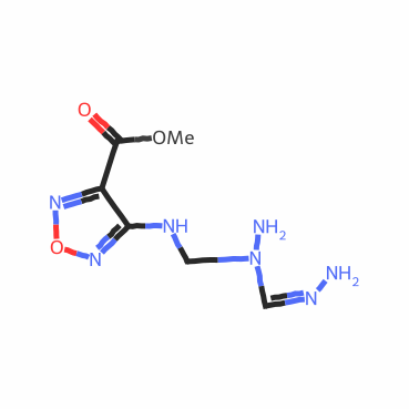 COC(=O)c1nonc1NCN(N)/C=N\N